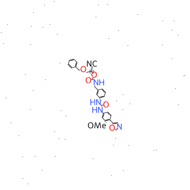 COc1cc(NC(=O)Nc2cccc(CNC(=O)O[C@H](CC#N)COCc3ccccc3)c2)ccc1-c1cnco1